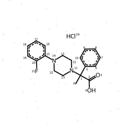 CC(C(=O)O)(c1ccccc1)N1CCN(c2ccccc2F)CC1.Cl